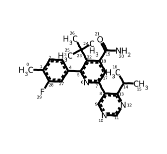 Cc1ccc(-c2nc(-c3cncnc3C(C)C)cc(C(N)=O)c2C(C)(C)C)cc1F